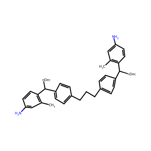 CCCCCCCCCCC(c1ccc(CCCc2ccc(C(CCCCCCCCCC)c3ccc(N)cc3C)cc2)cc1)c1ccc(N)cc1C